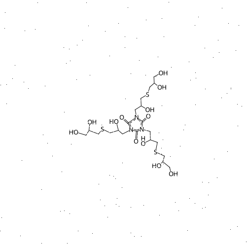 O=c1n(CC(O)CSCC(O)CO)c(=O)n(CC(O)CSCC(O)CO)c(=O)n1CC(O)CSCC(O)CO